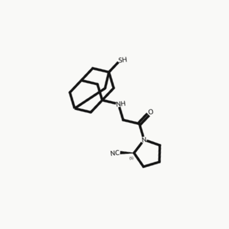 N#C[C@@H]1CCCN1C(=O)CNC12CC3CC(CC(S)(C3)C1)C2